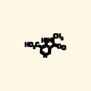 CN1Nc2c(C(=O)O)cncc2C1=C=O